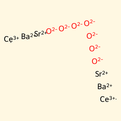 [Ba+2].[Ba+2].[Ce+3].[Ce+3].[O-2].[O-2].[O-2].[O-2].[O-2].[O-2].[O-2].[Sr+2].[Sr+2]